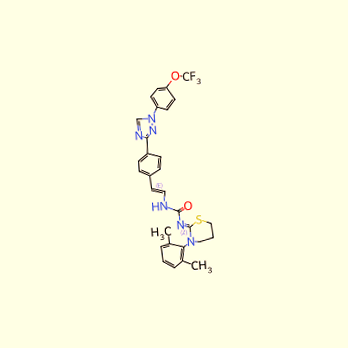 Cc1cccc(C)c1N1CCCS/C1=N\C(=O)N/C=C/c1ccc(-c2ncn(-c3ccc(OC(F)(F)F)cc3)n2)cc1